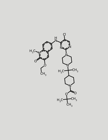 CCOc1cc2cc(Nc3nc(N4CCN(C(C)(C)C5CCN(C(=O)OC(C)(C)C)CC5)CC4)ncc3Cl)ccc2n(C)c1=O